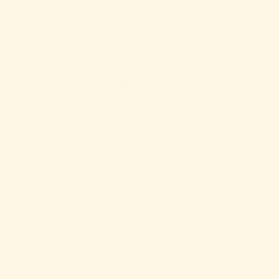 O=C(O)C1CCC1c1ccccc1